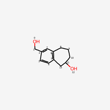 OCc1ccc2c(c1)CCCC(O)C2